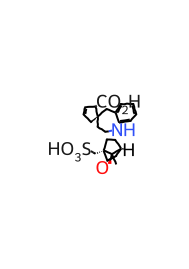 CC1(C)[C@H]2CC[C@]1(CS(=O)(=O)O)C(=O)C2.O=C(O)C1C=CC[C@@]12CCNc1ccccc1C2